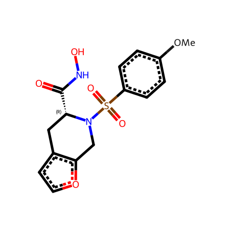 COc1ccc(S(=O)(=O)N2Cc3occc3C[C@@H]2C(=O)NO)cc1